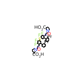 CC(C)c1ccccc1-c1cc(Sc2cc(-c3ccccc3C(C)C)c(/C=C/C(=O)N3CCCC(C(=O)O)C3)c(F)c2F)c(F)c(F)c1/C=C/C(=O)N1CCCC(C(=O)O)C1